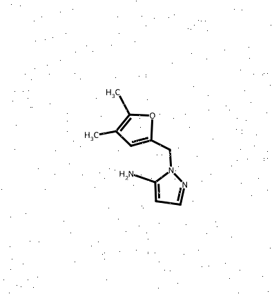 Cc1cc(Cn2nccc2N)oc1C